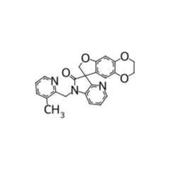 Cc1cccnc1CN1C(=O)C2(COc3cc4c(cc32)OCCO4)c2ncccc21